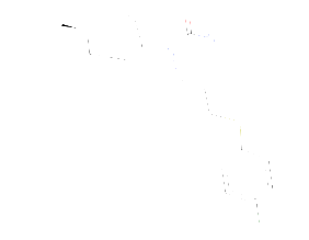 C[C@H]1CC[C@H](N(CCCSc2ccc(Cl)cc2)C(N)=O)CC1